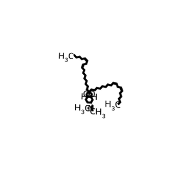 CCCCC/C=C\C/C=C\CCCCCCCCC1(CCCCCCCC/C=C\C/C=C\CCCCC)O[C@@H]2CC[C@@H](CN(C)C)C[C@H]2O1